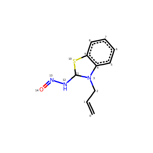 C=CCN1c2ccccc2SC1NN=O